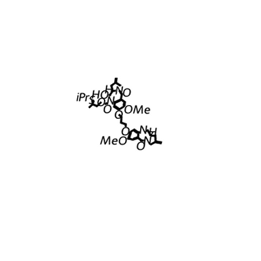 C=C1C[C@H]2C=Nc3cc(OCCCOc4cc5c(cc4OC)C(=O)N4CC(=C)C[C@H]4C(O)N5C(=O)OCC(C)SC(C)C)c(OC)cc3C(=O)N2C1